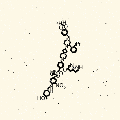 [2H]C1([2H])Oc2ccc(CN3CCN(C4CC5(CCN(c6ccc(C(=O)NS(=O)(=O)c7ccc(NCC8CCC(C)(O)CC8)c([N+](=O)[O-])c7)c(Oc7cnc8[nH]ccc8c7)c6)CC5)C4)C(c4ccccc4C(C)C)C3)cc2O1